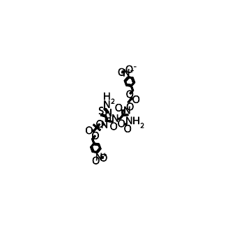 CC(C)(O/N=C(/C(=O)NC(OC(N)=O)C1CN(OCC(=O)OCc2ccc([N+](=O)[O-])cc2)C1=O)c1csc(N)n1)C(=O)OCc1ccc([N+](=O)[O-])cc1